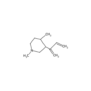 C=CC(=C)C1CN(C)CCC1C